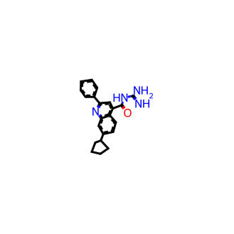 N=C(N)NC(=O)c1cc(-c2ccccc2)nc2cc(C3CCCC3)ccc12